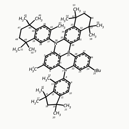 Cc1cc2c3c(c1)N(c1ccc4c(c1C)C(C)(C)CC4(C)C)c1cc(C(C)(C)C)ccc1B3c1cc3c(cc1N2c1cc2c(cc1C)C(C)(C)CCC2(C)C)C(C)(C)CCC3(C)C